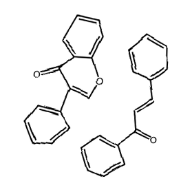 O=C(/C=C/c1ccccc1)c1ccccc1.O=c1c(-c2ccccc2)coc2ccccc12